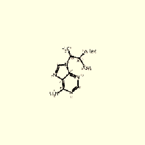 CCCCCC[C@@H](O)[C@H](C)n1cnc2c(N)ncnc21